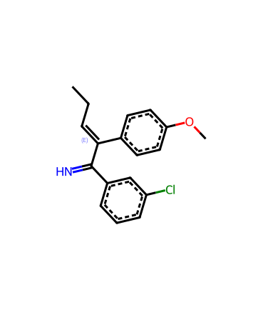 CC/C=C(/C(=N)c1cccc(Cl)c1)c1ccc(OC)cc1